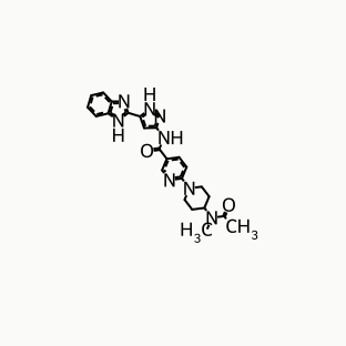 CC(=O)N(C)C1CCN(c2ccc(C(=O)Nc3cc(-c4nc5ccccc5[nH]4)[nH]n3)cn2)CC1